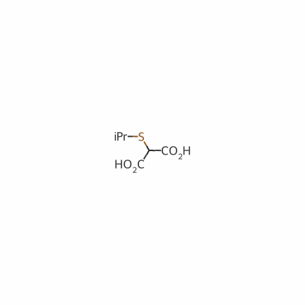 CC(C)SC(C(=O)O)C(=O)O